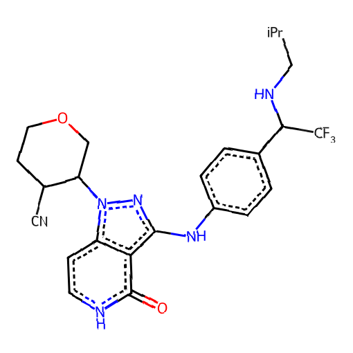 CC(C)CNC(c1ccc(Nc2nn(C3COCCC3C#N)c3cc[nH]c(=O)c23)cc1)C(F)(F)F